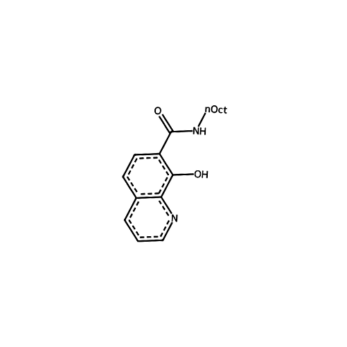 CCCCCCCCNC(=O)c1ccc2cccnc2c1O